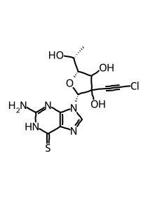 C[C@@H](O)[C@H]1O[C@@H](n2cnc3c(=S)[nH]c(N)nc32)C(O)(C#CCl)C1O